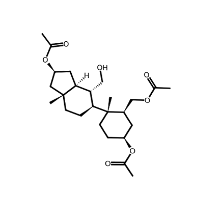 CC(=O)OC[C@H]1C[C@@H](OC(C)=O)CC[C@]1(C)[C@H]1CC[C@]2(C)C[C@@H](OC(C)=O)C[C@H]2[C@@H]1CO